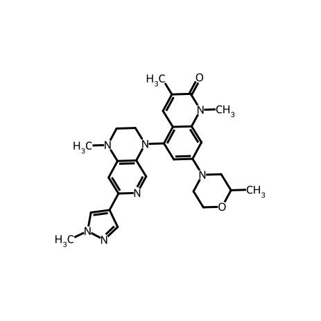 Cc1cc2c(N3CCN(C)c4cc(-c5cnn(C)c5)ncc43)cc(N3CCOC(C)C3)cc2n(C)c1=O